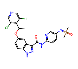 CC(Oc1ccc2[nH]nc(C(=O)Nc3ccc(N=S(C)(C)=O)cn3)c2c1)c1c(Cl)cncc1Cl